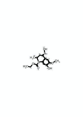 CCOC(=O)N1c2cc(O)c(OC)cc2C(=NO)CC1C